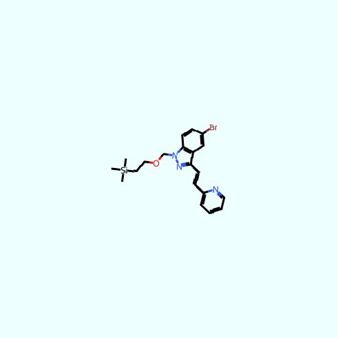 C[Si](C)(C)CCOCn1nc(C=Cc2ccccn2)c2cc(Br)ccc21